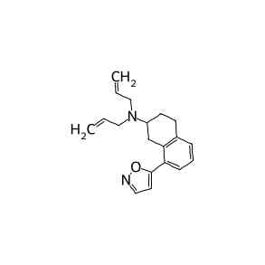 C=CCN(CC=C)C1CCc2cccc(-c3ccno3)c2C1